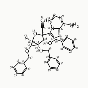 C#CC1(c2ccc3c(N)ncnn23)O[C@@H]2C(OCc3ccccc3)[C@]2(OCc2ccccc2)[C@H]1OCc1ccccc1